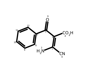 N#CC(N)=C(C(=O)O)C(=O)c1ccccc1